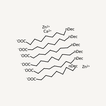 CCCCCCCCCCCCCCCCCC(=O)[O-].CCCCCCCCCCCCCCCCCC(=O)[O-].CCCCCCCCCCCCCCCCCC(=O)[O-].CCCCCCCCCCCCCCCCCC(=O)[O-].CCCCCCCCCCCCCCCCCC(=O)[O-].CCCCCCCCCCCCCCCCCC(=O)[O-].[Ca+2].[Zn+2].[Zn+2]